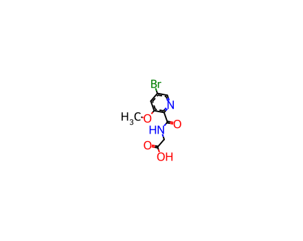 COc1cc(Br)cnc1C(=O)NCC(=O)O